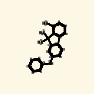 Cc1cccc2c1C(C)(C)c1cc(Nc3ccccc3)ccc1-2